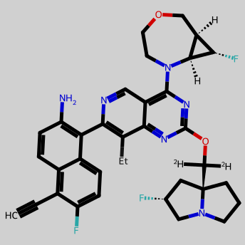 [2H]C([2H])(Oc1nc(N2CCOC[C@H]3[C@H](F)[C@H]32)c2cnc(-c3c(N)ccc4c(C#C)c(F)ccc34)c(CC)c2n1)[C@@]12CCCN1C[C@H](F)C2